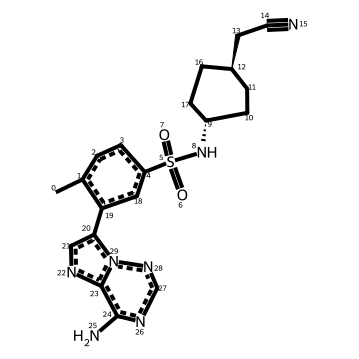 Cc1ccc(S(=O)(=O)N[C@H]2CC[C@H](CC#N)CC2)cc1-c1cnc2c(N)ncnn12